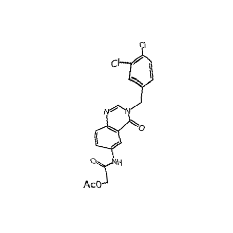 CC(=O)OCC(=O)Nc1ccc2ncn(Cc3ccc(Cl)c(Cl)c3)c(=O)c2c1